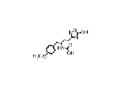 COc1ccc(CC(CCc2noc(O)n2)NC(=O)O)cc1